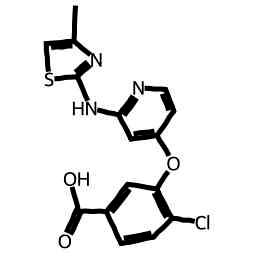 Cc1csc(Nc2cc(Oc3cc(C(=O)O)ccc3Cl)ccn2)n1